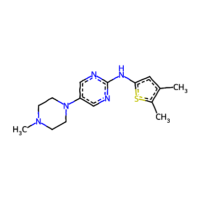 Cc1cc(Nc2ncc(N3CCN(C)CC3)cn2)sc1C